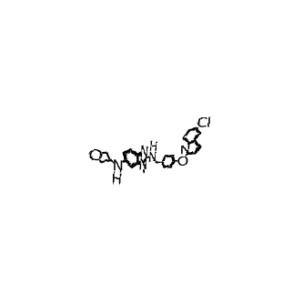 Cn1c(NCc2ccc(Oc3ccc4cc(Cl)ccc4n3)cc2)nc2ccc(NC3COC3)cc21